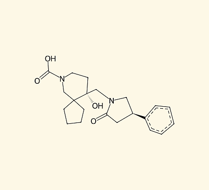 O=C(O)N1CC[C@@](O)(CN2C[C@@H](c3ccccc3)CC2=O)C2(CCCC2)C1